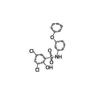 O=S(=O)(Nc1cccc(Oc2ccccc2)c1)c1cc(Cl)cc(Cl)c1O